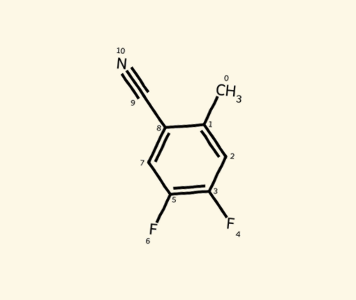 Cc1cc(F)c(F)cc1C#N